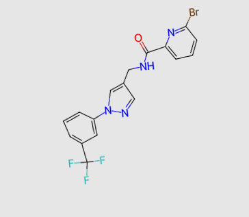 O=C(NCc1cnn(-c2cccc(C(F)(F)F)c2)c1)c1cccc(Br)n1